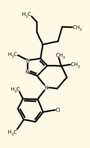 CCCC(CCC)c1c2c(nn1C)N(c1c(C)cc(C)cc1Cl)CCC2(C)C